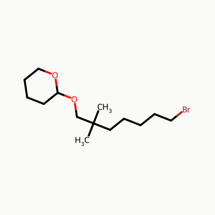 CC(C)(CCCCCBr)COC1CCCCO1